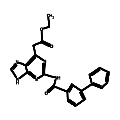 CCOC(=O)Cc1nc(NC(=O)c2cccc(-c3ccccc3)c2)nc2[nH]cnc12